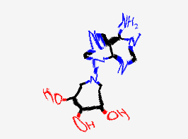 Nc1ncnc2c1ncn2N1CC(O)C(O)C(O)C1